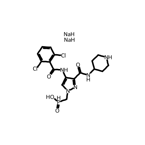 O=C(NC1CCNCC1)c1nn(C[PH](=O)O)cc1NC(=O)c1c(Cl)cccc1Cl.[NaH].[NaH]